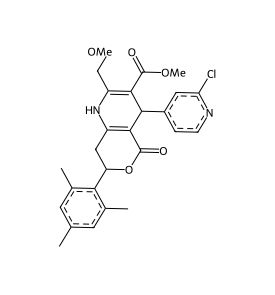 COCC1=C(C(=O)OC)C(c2ccnc(Cl)c2)C2=C(CC(c3c(C)cc(C)cc3C)OC2=O)N1